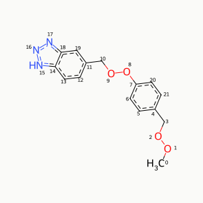 COOCc1ccc(OOCc2ccc3[nH]nnc3c2)cc1